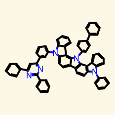 c1ccc(-c2ccc(-n3c4c(ccc5c4c4ccccc4n5-c4ccccc4)c4ccc5c(c6ccccc6n5-c5cccc(-c6cc(-c7ccccc7)nc(-c7ccccc7)n6)c5)c43)cc2)cc1